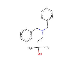 CC(C)(O)CCN(Cc1ccccc1)Cc1ccccc1